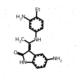 CCc1ccc(NC(C)=C2C(=O)Nc3ccc(N)cc32)cc1N